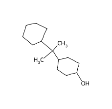 CC(C)(C1CCCCC1)C1CCC(O)CC1